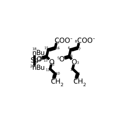 C=CCOC(=O)C=CC(=O)[O-].C=CCOC(=O)C=CC(=O)[O-].CCC[CH2][Sn+2][CH2]CCC